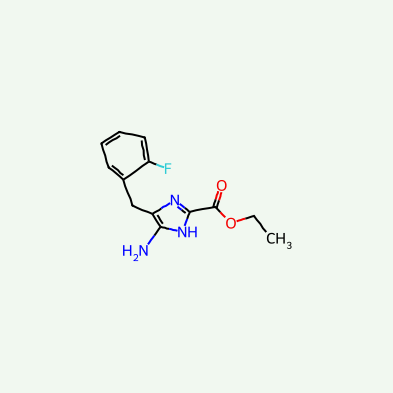 CCOC(=O)c1nc(Cc2ccccc2F)c(N)[nH]1